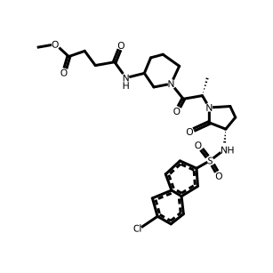 COC(=O)CCC(=O)NC1CCCN(C(=O)[C@H](C)N2CC[C@H](NS(=O)(=O)c3ccc4cc(Cl)ccc4c3)C2=O)C1